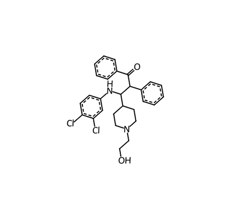 O=C(c1ccccc1)C(c1ccccc1)C(Nc1ccc(Cl)c(Cl)c1)C1CCN(CCO)CC1